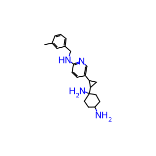 Cc1cccc(CNc2ccc(C3CC3C3(N)CCC(N)CC3)cn2)c1